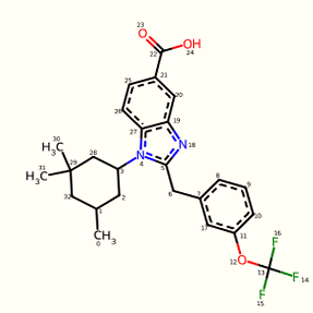 CC1CC(n2c(Cc3cccc(OC(F)(F)F)c3)nc3cc(C(=O)O)ccc32)CC(C)(C)C1